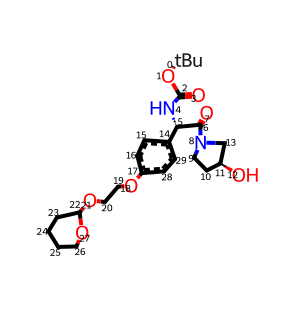 CC(C)(C)OC(=O)N[C@H](C(=O)N1CC[C@H](O)C1)c1ccc(OCCOC2CCCCO2)cc1